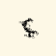 C[CH]CC([CH]S(=O)(=O)N(COCC[Si](C)(C)C)COCC[Si](C)(C)C)c1ccc(O[C@@H]2CCc3c(-c4c(C)cc(OCCC(C)(C)O)cc4C)cccc32)cc1C